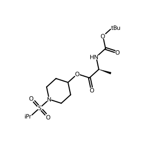 CC(C)S(=O)(=O)N1CCC(OC(=O)[C@H](C)NC(=O)OC(C)(C)C)CC1